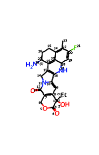 CC[C@@]1(O)C(=O)OCc2c1cc1n(c2=O)CC2=C1NC1C=C(F)C(C)=C3CC[C@H](N)C2=C31